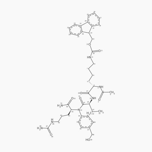 CC(=O)N[C@@H](CCCCNC(=O)OCC1c2ccccc2-c2ccccc21)C(=O)N[C@H](C(=O)N(c1ccc(CO)cc1)[C@@H](CCCNC(N)=O)C(N)=O)C(C)C